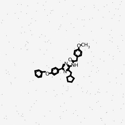 COc1ccc(CC(=O)Nc2ncc(-c3ccc(OCc4ccccc4)cc3)nc2CC2CCCC2)cc1